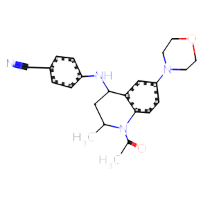 CC(=O)N1c2ccc(N3CCOCC3)cc2C(Nc2ccc(C#N)cc2)CC1C